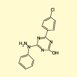 NN(c1ccccc1)c1nc(O)nc(-c2ccc(Cl)cc2)n1